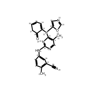 Cc1ccc(Nc2ncc(C)c(N(C3=CC=CCC3=O)c3cnco3)n2)cc1C#N